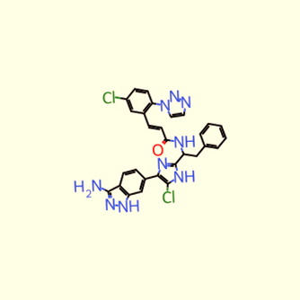 Nc1n[nH]c2cc(-c3nc(C(Cc4ccccc4)NC(=O)/C=C/c4cc(Cl)ccc4-n4ccnn4)[nH]c3Cl)ccc12